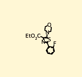 CCOC(=O)c1nc(-c2ccccc2F)sc1N1CCOCC1